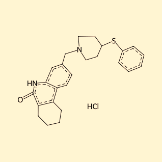 Cl.O=c1[nH]c2cc(CN3CCC(Sc4ccccc4)CC3)ccc2c2c1CCCC2